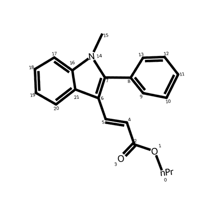 CCCOC(=O)/C=C/c1c(-c2ccccc2)n(C)c2ccccc12